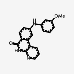 COc1cccc(Nc2ccc3c(=O)[nH]c4ncccc4c3c2)c1